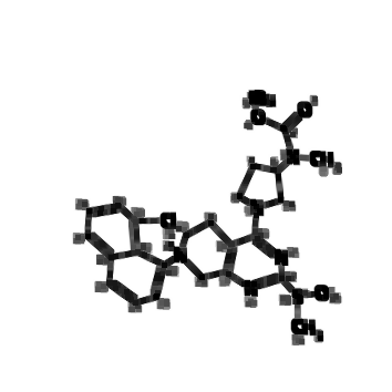 CN(C(=O)OC(C)(C)C)C1CCN(c2nc([S+](C)[O-])nc3c2CCN(c2cccc4cccc(Cl)c24)C3)C1